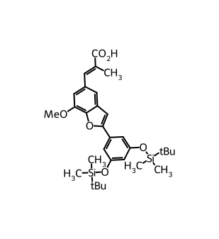 COc1cc(C=C(C)C(=O)O)cc2cc(-c3cc(O[Si](C)(C)C(C)(C)C)cc(O[Si](C)(C)C(C)(C)C)c3)oc12